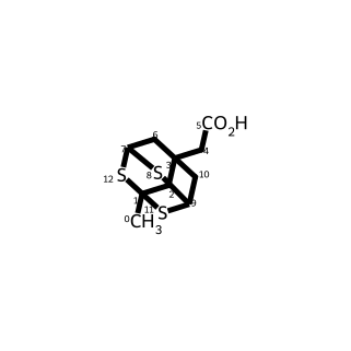 CC12CC3(CC(=O)O)CC(SC(C3)S1)S2